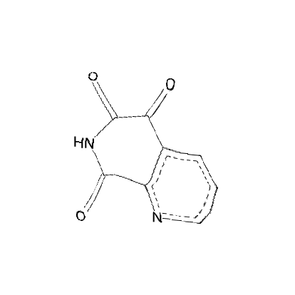 O=C1NC(=O)c2ncccc2C1=O